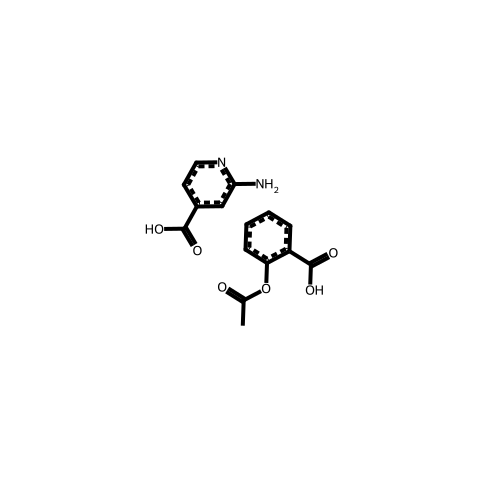 CC(=O)Oc1ccccc1C(=O)O.Nc1cc(C(=O)O)ccn1